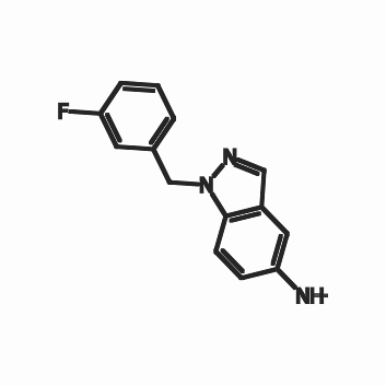 [NH]c1ccc2c(cnn2Cc2cccc(F)c2)c1